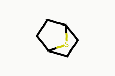 [CH]1CC2CC[C]1S2